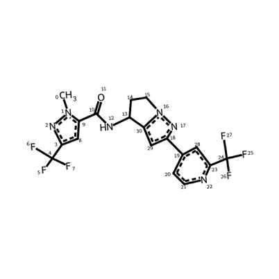 Cn1nc(C(F)(F)F)cc1C(=O)NC1CCn2nc(-c3ccnc(C(F)(F)F)c3)cc21